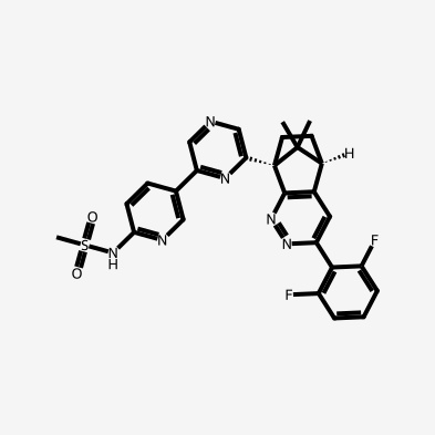 CC1(C)[C@H]2CC[C@]1(c1cncc(-c3ccc(NS(C)(=O)=O)nc3)n1)c1nnc(-c3c(F)cccc3F)cc12